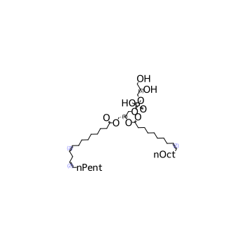 CCCCC/C=C\C/C=C\CCCCCCCC(=O)OC[C@H](COP(=O)(O)OC[C@@H](O)CO)OC(=O)CCCCCCC/C=C\CCCCCCCC